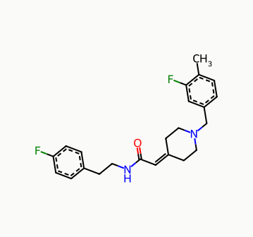 Cc1ccc(CN2CCC(=CC(=O)NCCc3ccc(F)cc3)CC2)cc1F